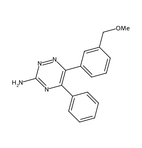 COCc1cccc(-c2nnc(N)nc2-c2ccccc2)c1